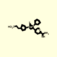 N=C(N)c1ccc(-c2cn(-c3ccc(CCC(=O)O)cc3)c(=S)n2-c2ccccc2)cc1